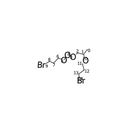 CC(COOOCCCBr)OCCCBr